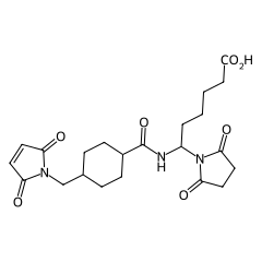 O=C(O)CCCCC(NC(=O)C1CCC(CN2C(=O)C=CC2=O)CC1)N1C(=O)CCC1=O